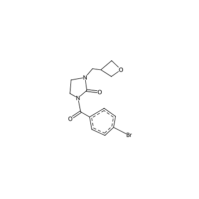 O=C(c1ccc(Br)cc1)N1CCN(CC2COC2)C1=O